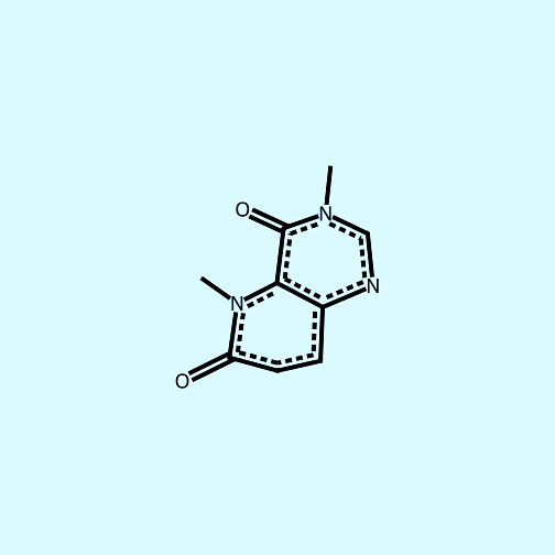 Cn1cnc2ccc(=O)n(C)c2c1=O